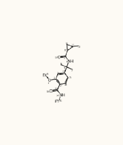 CCOc1cc(C(C)(C)NC(=O)C2CC2C)ccc1C(=O)NC(C)C